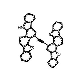 C(#Cc1cc2c3ccccc3oc2c2ccc3c4ccccc4sc3c12)c1cc2c3ccccc3[nH]c2c2ccc3c4ccccc4sc3c12